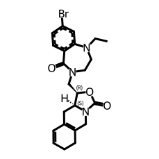 CCN1CCN(C[C@H]2OC(=O)N3CC4=C(C=CCC4)C[C@@H]23)C(=O)c2ccc(Br)cc21